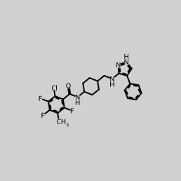 Cc1c(F)c(F)c(Cl)c(C(=O)NC2CCC(CNc3n[nH]cc3-c3ccccc3)CC2)c1F